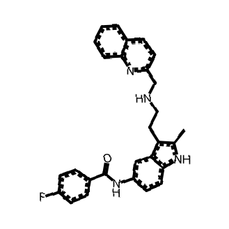 Cc1[nH]c2ccc(NC(=O)c3ccc(F)cc3)cc2c1CCNCc1ccc2ccccc2n1